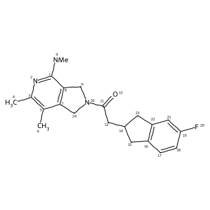 CNc1nc(C)c(C)c2c1CN(C(=O)CC1Cc3ccc(F)cc3C1)C2